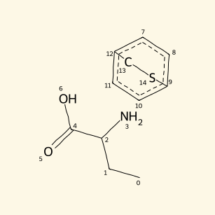 CCC(N)C(=O)O.c1cc2ccc1CS2